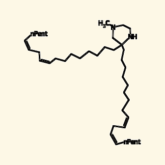 CCCCC/C=C\C/C=C\CCCCCCCCC1(CCCCCCCC/C=C\C/C=C\CCCCC)CN(C)CCN1